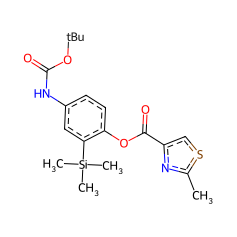 Cc1nc(C(=O)Oc2ccc(NC(=O)OC(C)(C)C)cc2[Si](C)(C)C)cs1